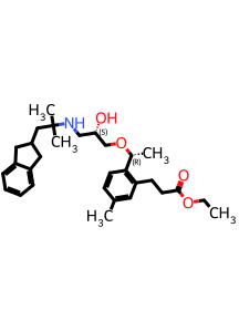 CCOC(=O)CCc1cc(C)ccc1[C@@H](C)OC[C@@H](O)CNC(C)(C)CC1Cc2ccccc2C1